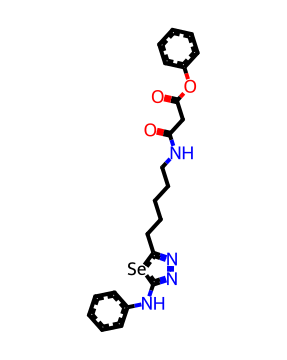 O=C(CC(=O)Oc1ccccc1)NCCCCCc1nnc(Nc2ccccc2)[se]1